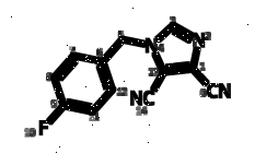 N#Cc1ncn(Cc2ccc(F)cc2)c1C#N